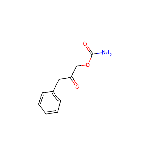 NC(=O)OCC(=O)Cc1ccccc1